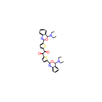 CCN(CC)C1OC(c2ccc(C(=O)C(=O)c3ccc(C4=Nc5ccccc5C(N(CC)CC)O4)s3)s2)=Nc2ccccc21